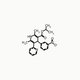 CC1=C(C(=O)OC(C)C)C(c2cccc([N+](=O)[O-])c2)C(c2ccccn2)=C(C)N1